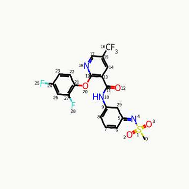 CS(=O)(=O)N=C1C=CC=C(NC(=O)c2cc(C(F)(F)F)cnc2Oc2ccc(F)cc2F)C1